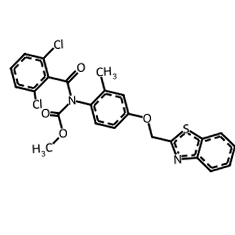 COC(=O)N(C(=O)c1c(Cl)cccc1Cl)c1ccc(OCc2nc3ccccc3s2)cc1C